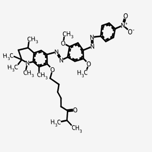 COc1cc(/N=N/c2cc3c(c(C)c2OCCCCCC(=O)C(C)C)N(C)C(C)(C)CC3C)c(OC)cc1/N=N/c1ccc([N+](=O)[O-])cc1